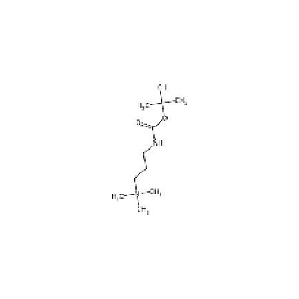 CC(C)(C)OC(=O)NCCC[N+](C)(C)C